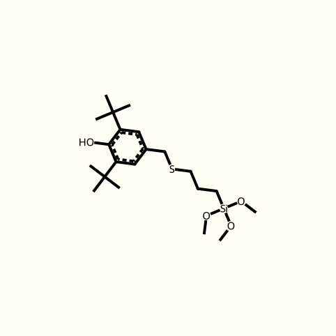 CO[Si](CCCSCc1cc(C(C)(C)C)c(O)c(C(C)(C)C)c1)(OC)OC